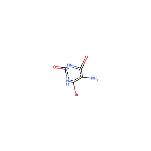 Nc1c(Br)[nH]c(=O)[nH]c1=O